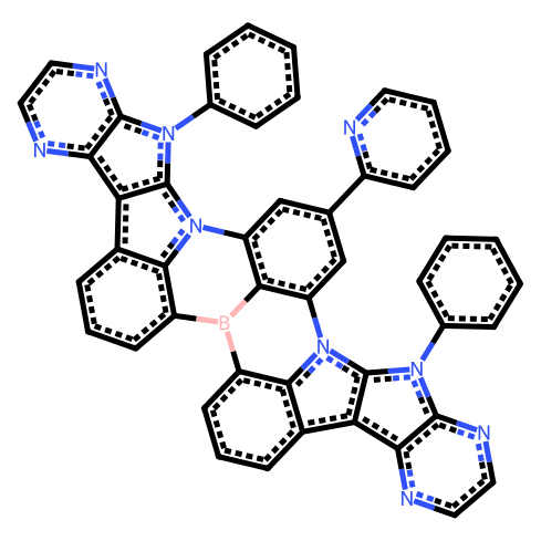 c1ccc(-n2c3nccnc3c3c4cccc5c4n(c32)-c2cc(-c3ccccn3)cc3c2B5c2cccc4c5c6nccnc6n(-c6ccccc6)c5n-3c24)cc1